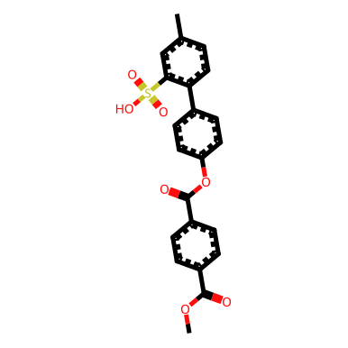 COC(=O)c1ccc(C(=O)Oc2ccc(-c3ccc(C)cc3S(=O)(=O)O)cc2)cc1